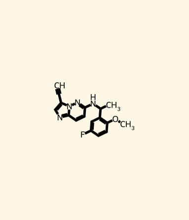 C#Cc1cnc2ccc(NC(C)c3cc(F)ccc3OC)nn12